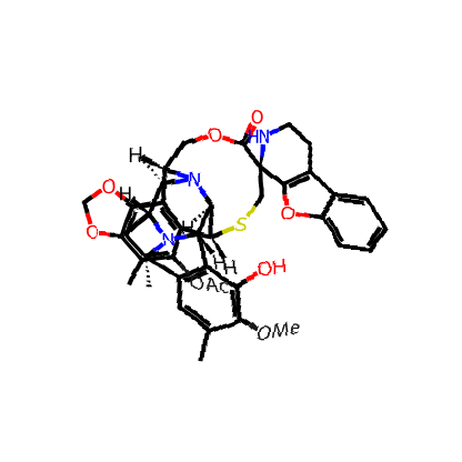 COc1c(C)cc2c(c1O)[C@H]1[C@@H]3[C@@H]4SC[C@]5(NCCc6c5oc5ccccc65)C(=O)OC[C@@H](c5c6c(c(C)c(OC(C)=O)c54)OCO6)N3[C@@H](C)[C@H]3C[C@@]2(C)N31